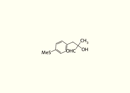 CSc1ccc(CC(C)(O)C=O)cc1